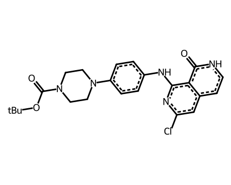 CC(C)(C)OC(=O)N1CCN(c2ccc(Nc3nc(Cl)cc4cc[nH]c(=O)c34)cc2)CC1